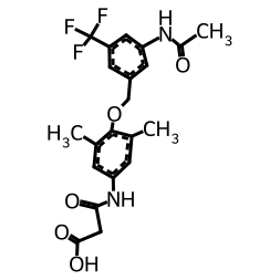 CC(=O)Nc1cc(COc2c(C)cc(NC(=O)CC(=O)O)cc2C)cc(C(F)(F)F)c1